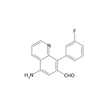 Nc1cc(C=O)c(-c2cccc(F)c2)c2ncccc12